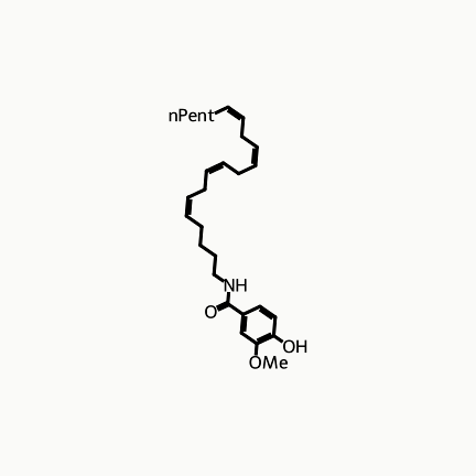 CCCCC/C=C\C/C=C\C/C=C\C/C=C\CCCCNC(=O)c1ccc(O)c(OC)c1